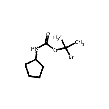 CCC(C)(C)OC(=O)NC1CCCC1